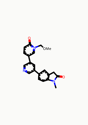 COCn1cc(-c2cncc(-c3ccc4c(c3)CC(=O)N4C)c2)ccc1=O